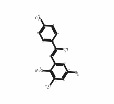 COc1c(/C=C(\C#N)c2ccc([N+](=O)[O-])cc2)cc(Br)cc1C(C)(C)C